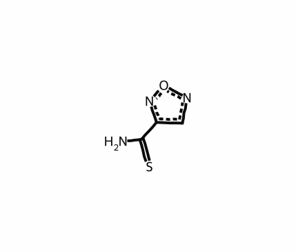 NC(=S)c1cnon1